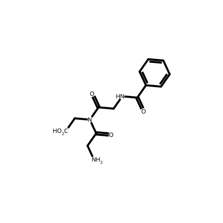 NCC(=O)N(CC(=O)O)C(=O)CNC(=O)c1ccccc1